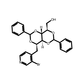 OC[C@H]1OC(c2ccccc2)O[C@@H]2[C@@H]1OC(c1ccccc1)O[C@@H]2Cc1ccncc1Br